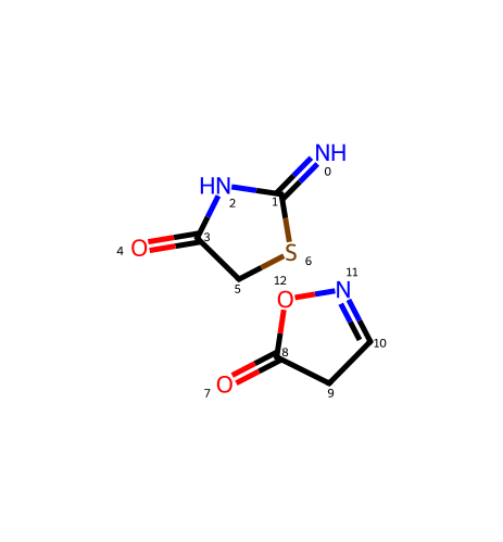 N=C1NC(=O)CS1.O=C1CC=NO1